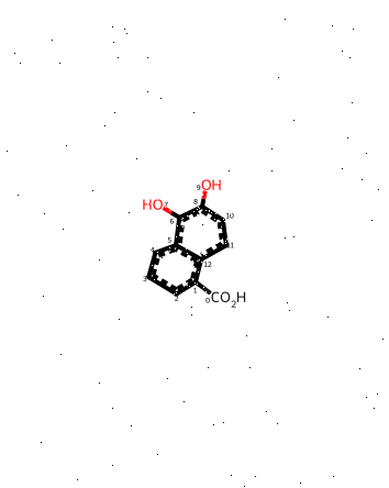 O=C(O)c1cccc2c(O)c(O)ccc12